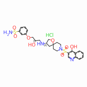 Cl.NS(=O)(=O)c1cccc(OC[C@@H](O)CN[C@H]2COC3(CCN(S(=O)(=O)c4cnc5ccccc5c4O)CC3)C2)c1